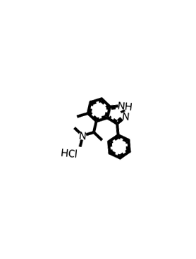 Cc1ccc2[nH]nc(-c3ccccc3)c2c1C(C)N(C)C.Cl